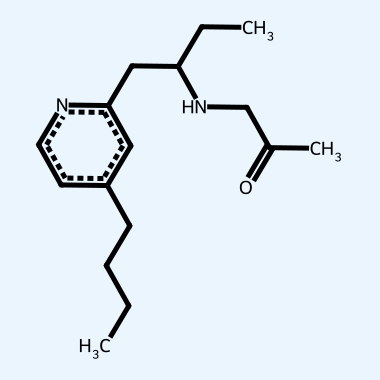 CCCCc1ccnc(CC(CC)NCC(C)=O)c1